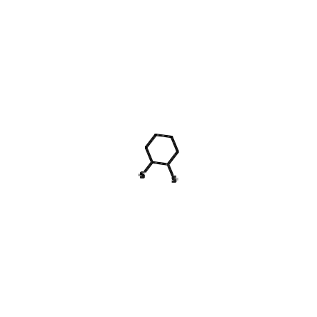 [S]C1CCCCC1[S]